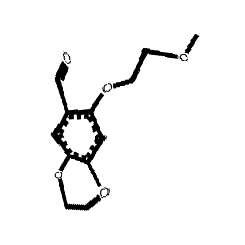 COCCOc1cc2c(cc1C=O)OCCO2